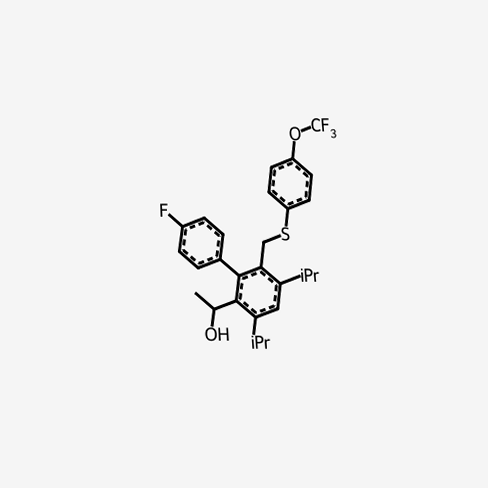 CC(C)c1cc(C(C)C)c(C(C)O)c(-c2ccc(F)cc2)c1CSc1ccc(OC(F)(F)F)cc1